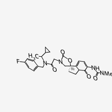 CNC(=O)NC1=CC=C2C(CC[C@@]23CN(CC(=O)N(Cc2ccc(F)cc2)C(C)C2CC2)C(=O)O3)C1=O